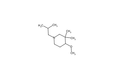 COC1CCN(CC(C)C)CC1(C)C